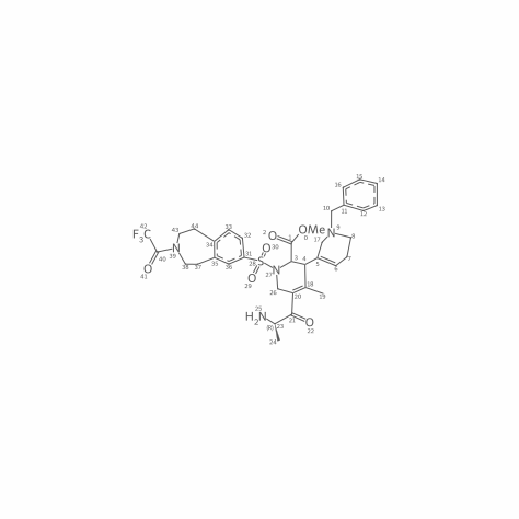 COC(=O)C1C(C2=CCCN(Cc3ccccc3)C2)C(C)=C(C(=O)[C@@H](C)N)CN1S(=O)(=O)c1ccc2c(c1)CCN(C(=O)C(F)(F)F)CC2